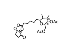 CC(=O)OCC1OC(CCCCCC(=O)ON2C(=O)CCC2=O)C(C)[C@@H](C)[C@H]1OC(C)=O